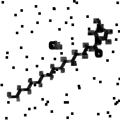 CCCCCCCCCCCCCCCC(=O)[n+]1ccn(C)c1.[Cl-]